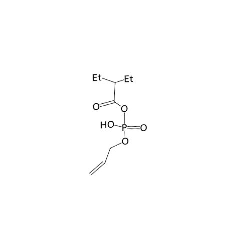 C=CCOP(=O)(O)OC(=O)C(CC)CC